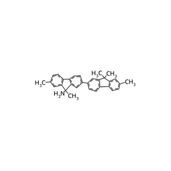 Cc1ccc2c(c1)C(C)(C)c1cc(-c3ccc4c(c3)C(C)(N)c3cc(C)ccc3-4)ccc1-2